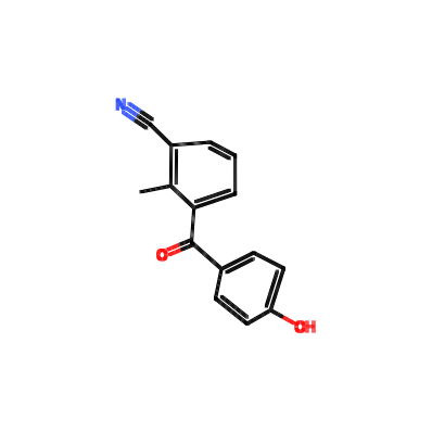 Cc1c(C#N)cccc1C(=O)c1ccc(O)cc1